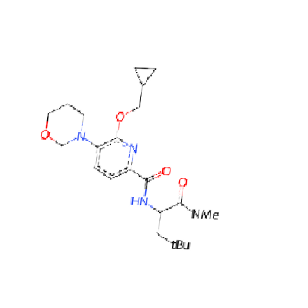 CNC(=O)C(CC(C)(C)C)NC(=O)c1ccc(N2CCCOC2)c(OCC2CC2)n1